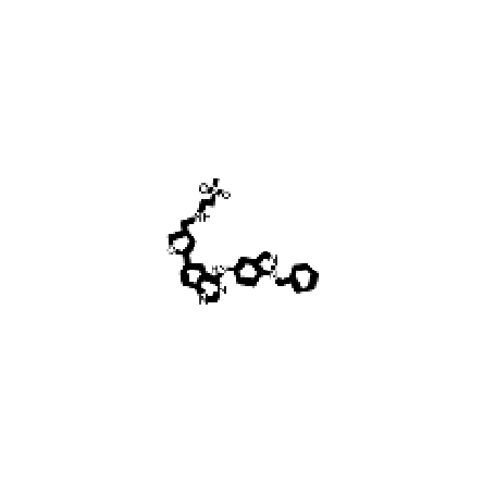 CS(=O)(=O)CCNCc1coc(-c2ccc3ncnc(Nc4ccc5c(cnn5Cc5ccccc5)c4)c3c2)c1